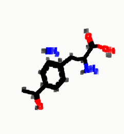 CC(=O)c1ccc(CC(N)C(=O)O)cc1.N